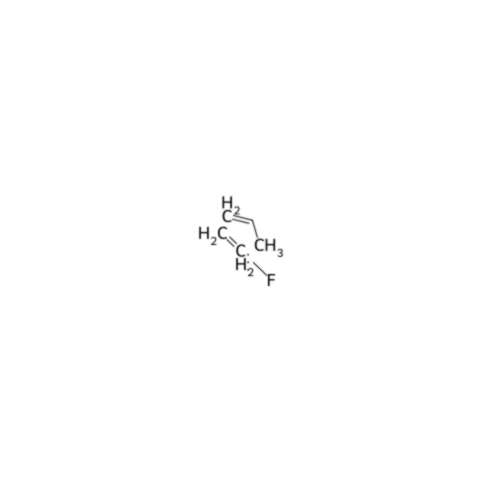 C=C.C=CC.[C]F